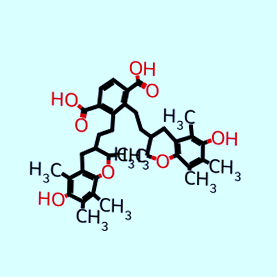 Cc1c(C)c2c(c(C)c1O)CC(CCc1c(C(=O)O)ccc(C(=O)O)c1CCC1Cc3c(C)c(O)c(C)c(C)c3OC1C)C(C)O2